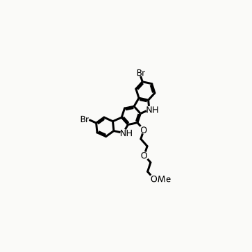 COCCOCCOc1c2c(cc3c1[nH]c1ccc(Br)cc13)C1C=C(Br)C=CC1N2